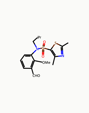 COc1c(C=O)cccc1N(CC(C)C)S(=O)(=O)c1sc(C)nc1C